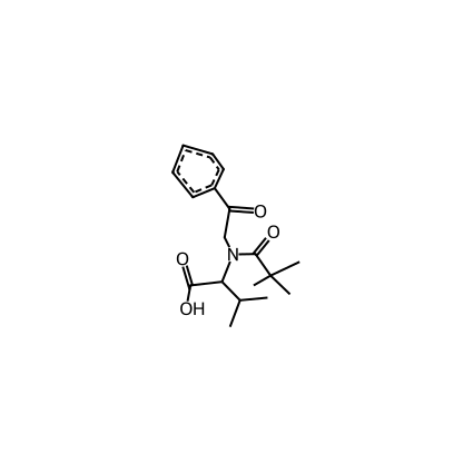 CC(C)C(C(=O)O)N(CC(=O)c1ccccc1)C(=O)C(C)(C)C